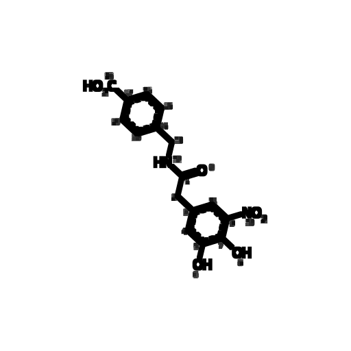 O=C(Cc1cc(O)c(O)c([N+](=O)[O-])c1)NCc1ccc(C(=O)O)cc1